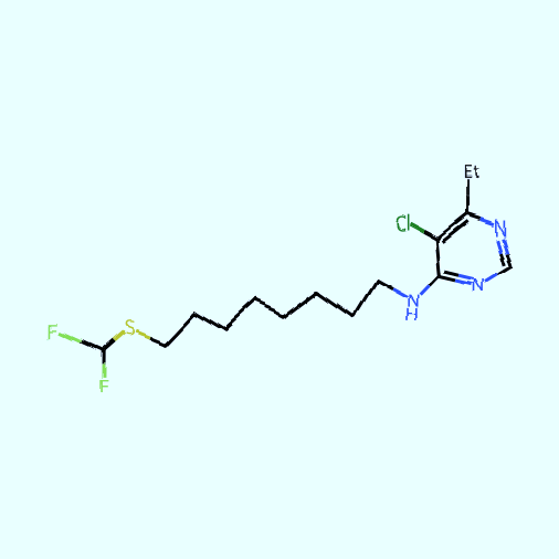 CCc1ncnc(NCCCCCCCCSC(F)F)c1Cl